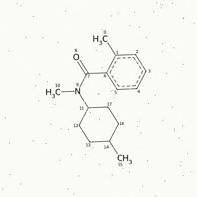 Cc1ccccc1C(=O)N(C)C1CCC(C)CC1